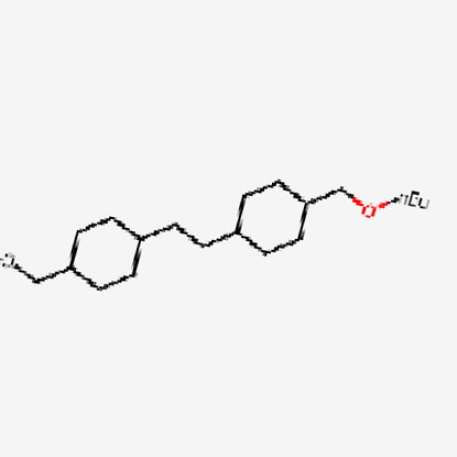 CCCCOCC1CCC(CCC2CCC(COC)CC2)CC1